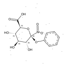 O=C(O)[C@H]1O[C@](Oc2ccccc2)([N+](=O)[O-])[C@H](O)[C@@H](O)[C@@H]1O